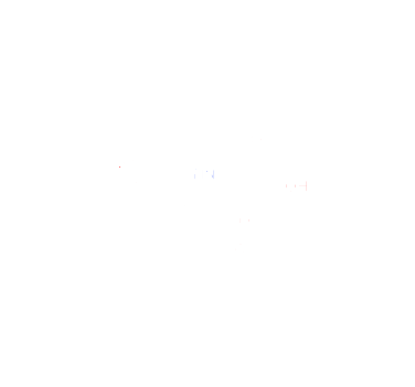 O=S(=O)(O)NC(CO)CO